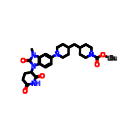 Cn1c(=O)n(C2CCC(=O)NC2=O)c2ccc(N3CCC(CC4CCN(C(=O)OC(C)(C)C)CC4)CC3)cc21